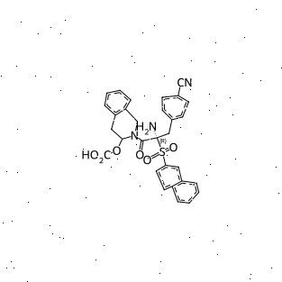 N#Cc1ccc(C[C@](N)(C(=O)N2Cc3ccccc3CC2OC(=O)O)S(=O)(=O)c2ccc3ccccc3c2)cc1